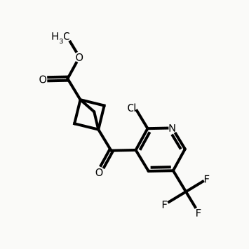 COC(=O)C12CC(C(=O)c3cc(C(F)(F)F)cnc3Cl)(C1)C2